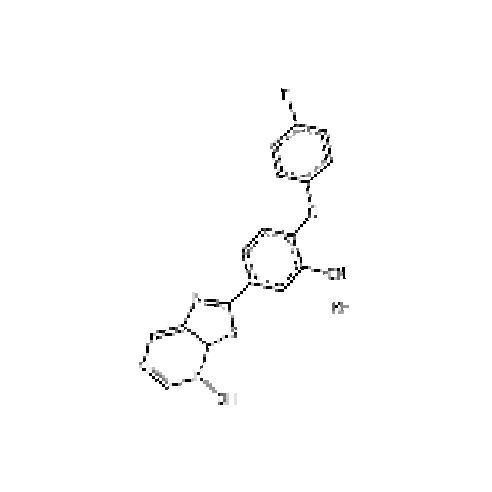 N#Cc1cc(C2=NC3=CN=CN(O)C3S2)ccc1Oc1ccc(F)cc1.[KH]